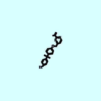 C=C(C)c1nccc(COc2ccc(C(C)(C)c3ccc(CC)cc3)cc2)n1